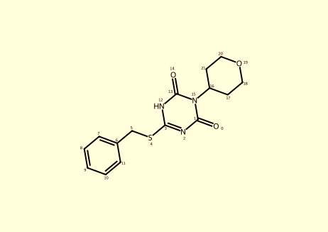 O=c1nc(SCc2ccccc2)[nH]c(=O)n1C1CCOCC1